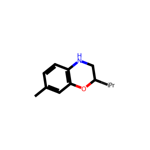 Cc1ccc2c(c1)OC(C(C)C)CN2